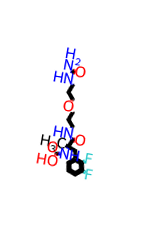 CC(Cc1cccc(F)c1F)(NC(=O)O)C(=O)NCCCOCCCNC(N)=O